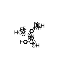 O=C(O)C(F)(F)F.O=C(O)CC(c1ccc(F)cc1)c1ccnc(Oc2ccc(CNC3=NCCN3)cc2)n1